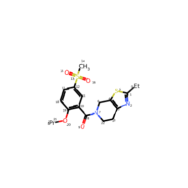 CCc1nc2c(s1)CN(C(=O)c1cc(S(C)(=O)=O)ccc1OC(C)C)CC2